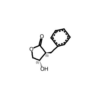 O=C1OC[C@@H](O)[C@@H]1Cc1ccccc1